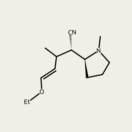 CCO/C=C/C(C)[C@H](C#N)[C@@H]1CCCN1C